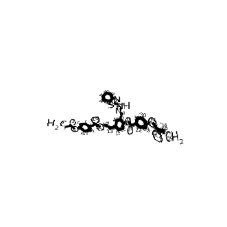 C=CC(=O)Oc1ccc(C(=O)OCCc2ccc(OC(=O)c3ccc(OC(=O)C=C)cc3)c(/C=N/Nc3nc4ccccc4s3)c2)cc1